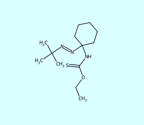 CCOC(=S)NC1(N=NC(C)(C)C)CCCCC1